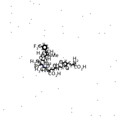 CN[C@H](C(=O)NC(C(=O)N(C)[C@H](/C=C(\C)C(=O)N[C@H](CCC(=O)NCCN1C(=O)CC(SC[C@H](N)C(=O)O)C1=O)C(=O)O)C(C)C)C(C)(C)C)C(C)(C)c1cccc(C(F)(F)F)c1